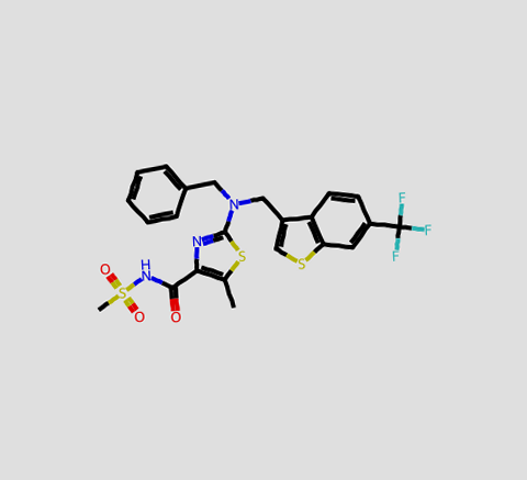 Cc1sc(N(Cc2ccccc2)Cc2csc3cc(C(F)(F)F)ccc23)nc1C(=O)NS(C)(=O)=O